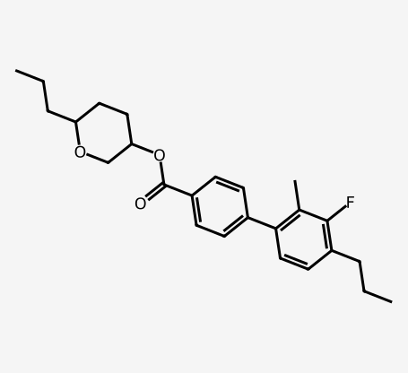 CCCc1ccc(-c2ccc(C(=O)OC3CCC(CCC)OC3)cc2)c(C)c1F